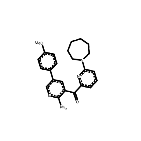 COc1ccc(-c2cnc(N)c(C(=O)c3cccc(N4CCCCCC4)n3)c2)cc1